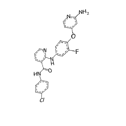 Nc1cc(Oc2ccc(Nc3ncccc3C(=O)Nc3ccc(Cl)cc3)cc2F)ccn1